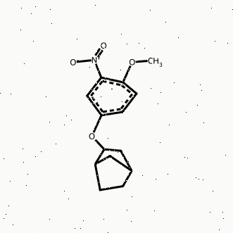 COc1ccc(OC2CC3CCC2C3)cc1[N+](=O)[O-]